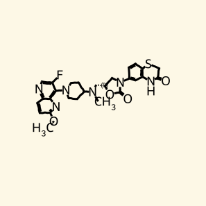 COc1ccc2ncc(F)c(N3CCC(N(C)C[C@@H]4CN(c5ccc6c(c5)NC(=O)CS6)C(=O)O4)CC3)c2n1